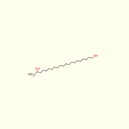 O=C(O)C(O)CCCCCCCCCCCCCCCCCCCO